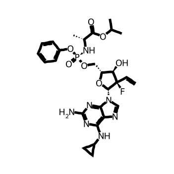 C=C[C@@]1(F)[C@H](O)[C@@H](CO[P@](=O)(N[C@H](C)C(=O)OC(C)C)Oc2ccccc2)O[C@H]1n1cnc2c(NC3CC3)nc(N)nc21